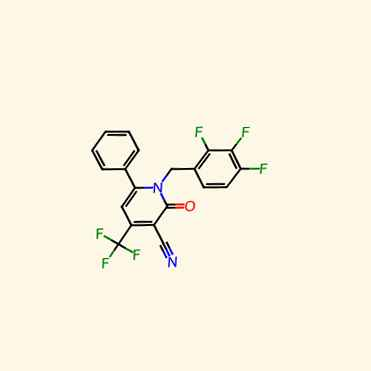 N#Cc1c(C(F)(F)F)cc(-c2ccccc2)n(Cc2ccc(F)c(F)c2F)c1=O